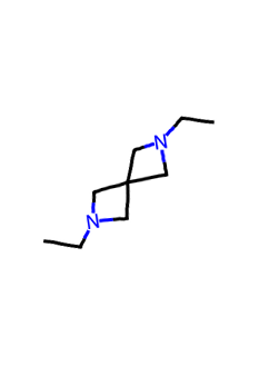 CCN1CC2(C1)CN(CC)C2